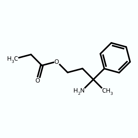 CCC(=O)OCCC(C)(N)c1ccccc1